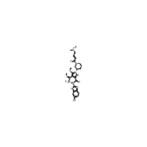 C=Nc1c(/C(N)=N\C)c(C(=O)Nc2nc3cc(Cl)ccc3o2)nn1[C@@H]1CCCN(C(=O)/C=C/CN(C)CC)C1